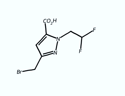 O=C(O)c1cc(CBr)nn1CC(F)F